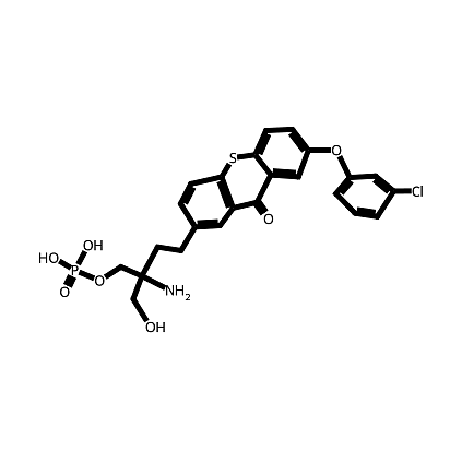 NC(CO)(CCc1ccc2sc3ccc(Oc4cccc(Cl)c4)cc3c(=O)c2c1)COP(=O)(O)O